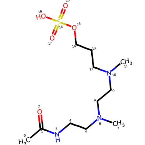 CC(=O)NCCN(C)CCN(C)CCCOS(=O)(=O)O